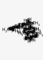 CCCCNc1ccc(C(=O)Nc2cccc(OC)c2)cc1C(F)(F)F.CCCNc1ccc(C(=O)Nc2cccc(OC)c2)cc1C(F)(F)F.CCNc1ccc(C(=O)Nc2cccc(OC)c2)cc1C(F)(F)F.COc1cccc(NC(=O)c2ccc(N3CCC(C)CC3)c(C(F)(F)F)c2)c1.COc1cccc(NC(=O)c2ccc(NCc3ccccc3)c(C(F)(F)F)c2)c1